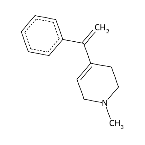 C=C(C1=CCN(C)CC1)c1ccccc1